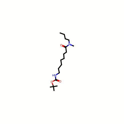 CCCCN(C)C(=O)CCCCCCCNC(=O)OC(C)(C)C